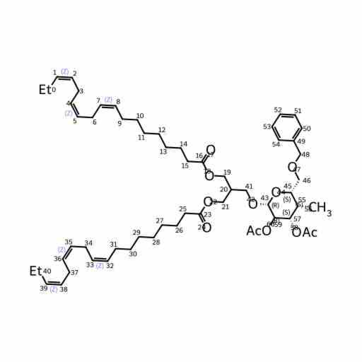 CC/C=C\C/C=C\C/C=C\CCCCCCCC(=O)OCC(COC(=O)CCCCCCC/C=C\C/C=C\C/C=C\CC)CO[C@@H]1O[C@H](COCc2ccccc2)[C@H](C)[C@H](OC(C)=O)[C@H]1OC(C)=O